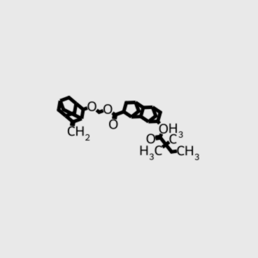 C=C1C2CC3CC(C2)C(OCOC(=O)C2CC4CC2C2C5CC(CC5OC(=O)C(C)(C)CC)C42)C1C3